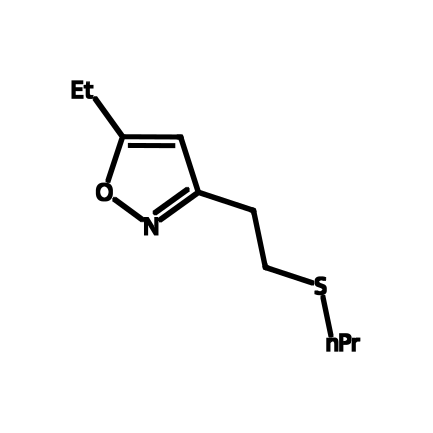 CCCSCCc1cc(CC)on1